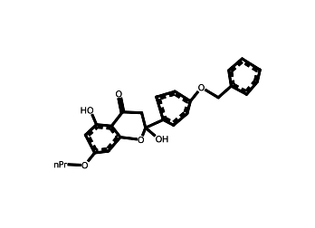 CCCOc1cc(O)c2c(c1)OC(O)(c1ccc(OCc3ccccc3)cc1)CC2=O